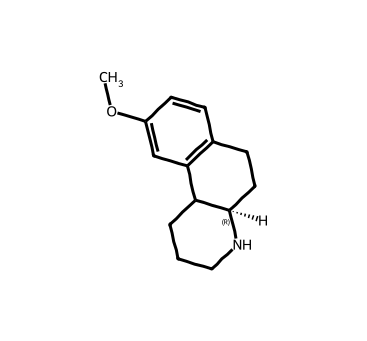 COc1ccc2c(c1)C1CCCN[C@@H]1CC2